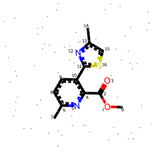 COC(=O)c1nc(C)ccc1-c1nc(C)cs1